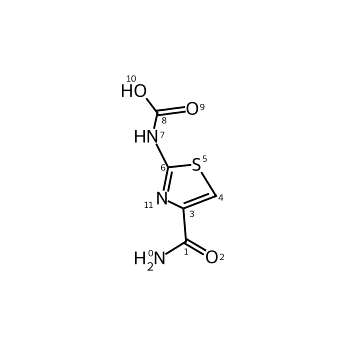 NC(=O)c1csc(NC(=O)O)n1